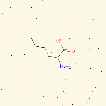 C=NC(CCCC)C(=O)O